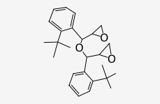 CC(C)(C)c1ccccc1C(OC(c1ccccc1C(C)(C)C)C1CO1)C1CO1